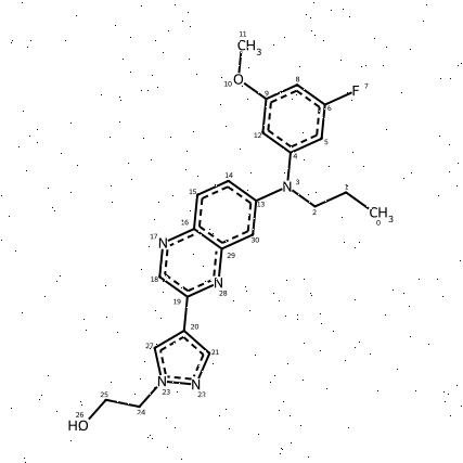 CCCN(c1cc(F)cc(OC)c1)c1ccc2ncc(-c3cnn(CCO)c3)nc2c1